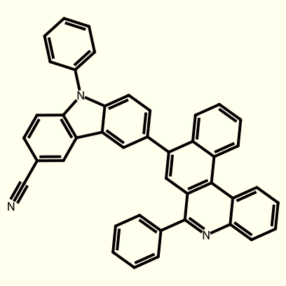 N#Cc1ccc2c(c1)c1cc(-c3cc4c(-c5ccccc5)nc5ccccc5c4c4ccccc34)ccc1n2-c1ccccc1